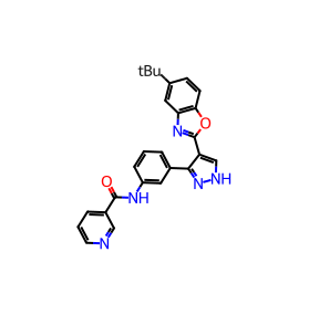 CC(C)(C)c1ccc2oc(-c3c[nH]nc3-c3cccc(NC(=O)c4cccnc4)c3)nc2c1